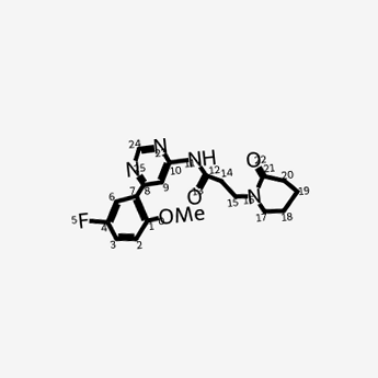 COc1ccc(F)cc1-c1cc(NC(=O)CCN2CCCCC2=O)ncn1